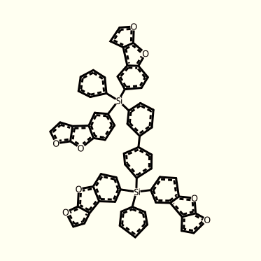 c1ccc([Si](c2ccc(-c3cccc([Si](c4ccccc4)(c4ccc5oc6occc6c5c4)c4ccc5oc6occc6c5c4)c3)cc2)(c2ccc3oc4occc4c3c2)c2ccc3oc4occc4c3c2)cc1